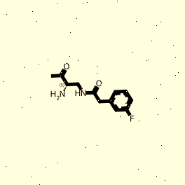 CC(=O)[C@@H](N)CNC(=O)Cc1cccc(F)c1